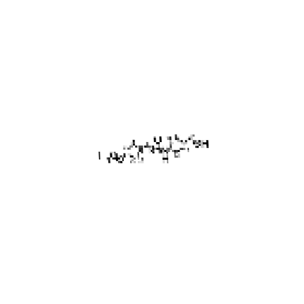 COc1ccc(CNC(=O)Nc2ccc(CO)cc2)cc1